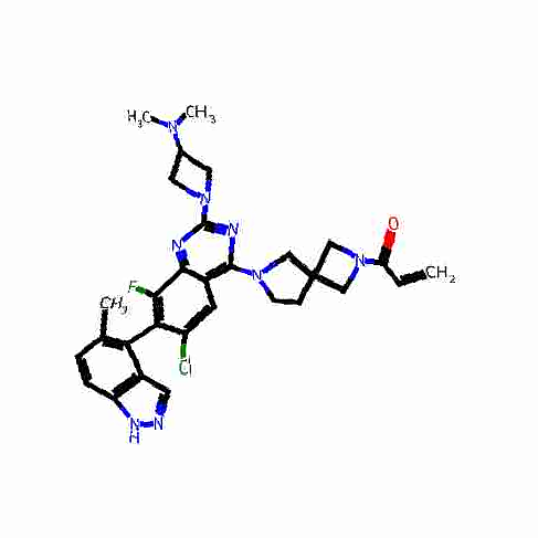 C=CC(=O)N1CC2(CCN(c3nc(N4CC(N(C)C)C4)nc4c(F)c(-c5c(C)ccc6[nH]ncc56)c(Cl)cc34)C2)C1